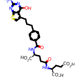 Nc1nc(O)c2c(CCCc3ccc(C(=O)N[C@@H](CCC(=O)N[C@@H](CCC(=O)O)C(=O)O)C(=O)O)cc3)csc2n1